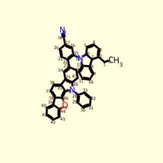 CCC1=CC=CC2C1c1ccccc1N2c1cc(C#N)ccc1C1=Cc2c(n(-c3ccccc3)c3c2ccc2c4ccccc4oc23)CC1